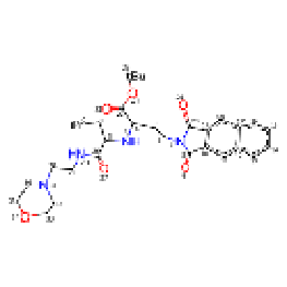 CC(C)CC(NC(CCN1C(=O)c2cc3ccccc3cc2C1=O)C(=O)OC(C)(C)C)C(=O)NCCN1CCOCC1